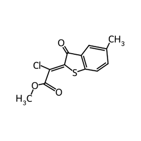 COC(=O)C(Cl)=C1Sc2ccc(C)cc2C1=O